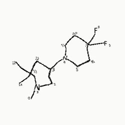 CN1CC(N2CCC(F)(F)CC2)CC1(C)C